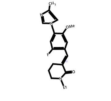 CCN1CCC/C(=C\c2cc(OC)c(-n3cnc(C)c3)cc2F)C1=O